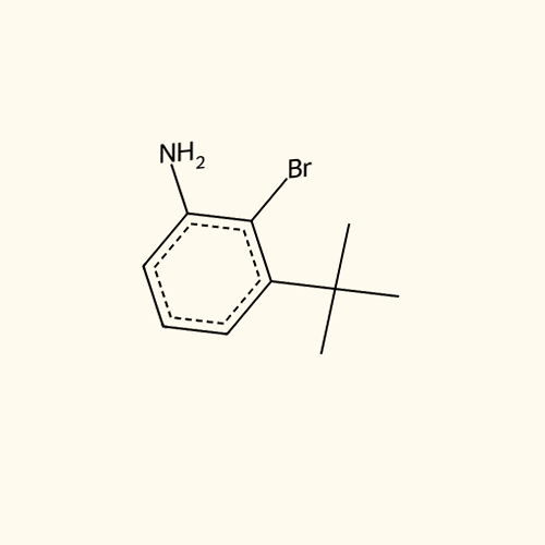 CC(C)(C)c1cccc(N)c1Br